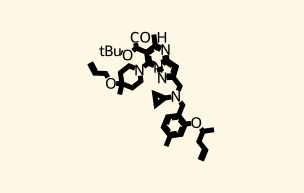 C=CCOC1(C)CCN(c2c(C(OC(C)(C)C)C(=O)O)c(C)nc3cc(CN(Cc4ccc(C)cc4OC(C)CC=C)C4CC4)nn23)CC1